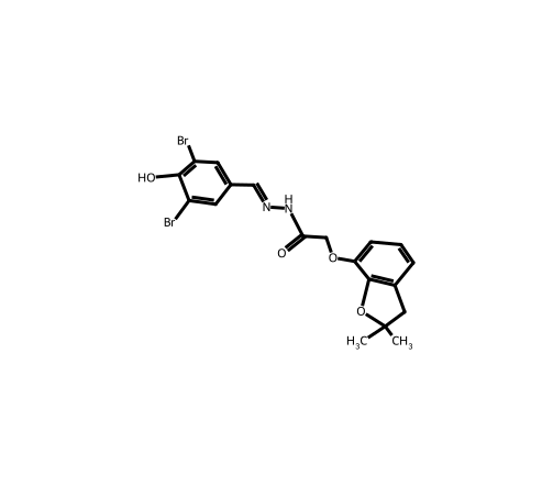 CC1(C)Cc2cccc(OCC(=O)N/N=C/c3cc(Br)c(O)c(Br)c3)c2O1